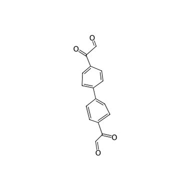 O=CC(=O)c1ccc(-c2ccc(C(=O)C=O)cc2)cc1